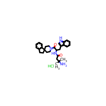 CC(C)(N)CC(=O)NC(Cc1c[nH]c2ccccc12)C(=O)N1CCC2(CCc3ccccc32)CC1.Cl